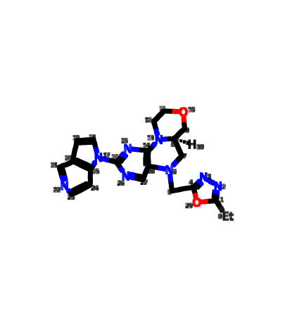 CCc1nnc(CN2C[C@@H]3COCCN3c3nc(-n4ccc5cnccc54)ncc32)o1